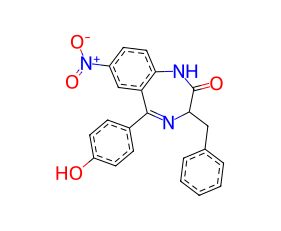 O=C1Nc2ccc([N+](=O)[O-])cc2C(c2ccc(O)cc2)=NC1Cc1ccccc1